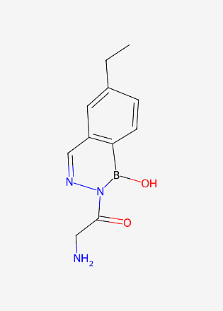 CCc1ccc2c(c1)C=NN(C(=O)CN)B2O